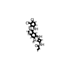 C=CC(=O)NC1CC(Nc2cc3c(Nc4ccc(Cl)c(Cl)c4F)ncnc3cc2OC)C1